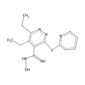 CCc1nnc(Sc2ccccn2)c(C(=N)NO)c1CC